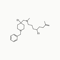 C=C(C)CCC(CC)CCCN(C)CC1(CC)CCN(Cc2ccccc2)CC1